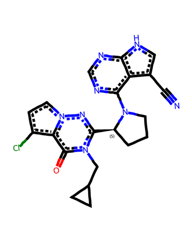 N#Cc1c[nH]c2ncnc(N3CCC[C@H]3c3nn4ccc(Cl)c4c(=O)n3CC3CC3)c12